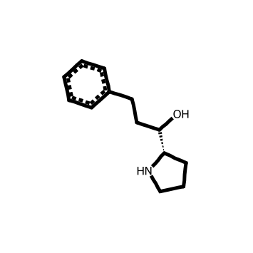 OC(CCc1ccccc1)[C@@H]1CCCN1